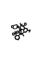 C[C@@H](Nc1ccccc1S(C)(=O)=O)c1cc(F)cc2c(=O)n(C)c(N3CCOCC3)nc12